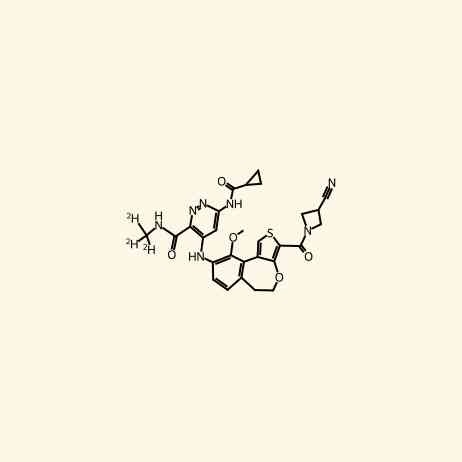 [2H]C([2H])([2H])NC(=O)c1nnc(NC(=O)C2CC2)cc1Nc1ccc2c(c1OC)-c1csc(C(=O)N3CC(C#N)C3)c1OCC2